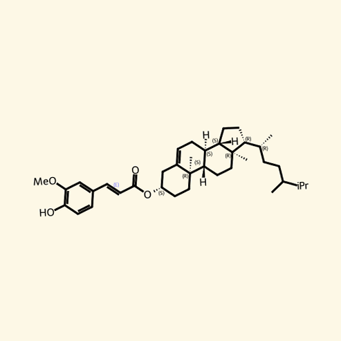 COc1cc(/C=C/C(=O)O[C@H]2CC[C@@]3(C)C(=CC[C@H]4[C@@H]5CC[C@H]([C@H](C)CCC(C)C(C)C)[C@@]5(C)CC[C@@H]43)C2)ccc1O